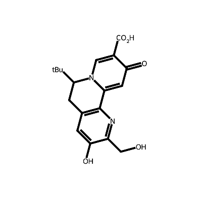 CC(C)(C)C1Cc2cc(O)c(CO)nc2-c2cc(=O)c(C(=O)O)cn21